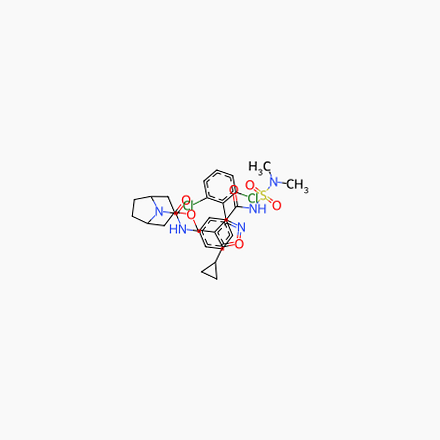 CN(C)S(=O)(=O)NC(=O)c1cccc(NC(=O)N2C3CCC2CC(OCc2c(-c4c(Cl)cccc4Cl)noc2C2CC2)C3)c1